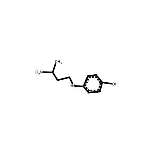 CC(CCNc1ccc(O)cc1)[N+](=O)[O-]